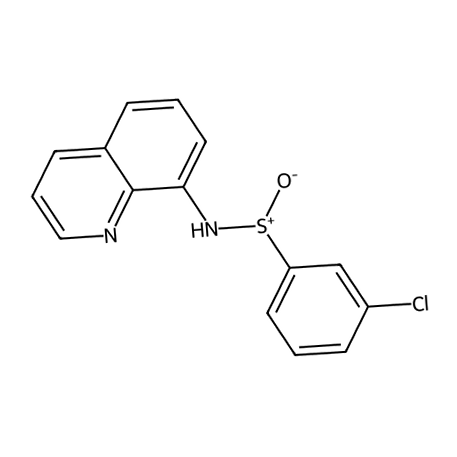 [O-][S+](Nc1cccc2cccnc12)c1cccc(Cl)c1